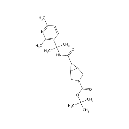 Cc1ccc(C(C)(C)NC(=O)C2C3CN(C(=O)OC(C)(C)C)CC32)c(C)n1